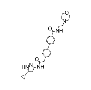 O=C(Cc1ccc(-c2ccc(C(=O)NCCN3CCOCC3)cc2)cc1)Nc1cc(C2CC2)[nH]n1